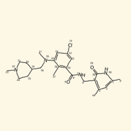 Cc1cc(C)c(CNC(=O)c2cc(Cl)cc(N(C)CC3CCN(C)CC3)c2C)c(=O)[nH]1